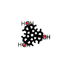 Cc1cc(O)cc(C)c1C(C)(c1cc(C(C)(c2c(C)cc(O)cc2C)c2c(C)cc(O)cc2C)cc(C(C)(c2c(C)cc(O)cc2C)c2c(C)cc(O)cc2C)c1)c1c(C)cc(O)cc1C